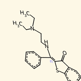 CCN(CC)CCN/C(=C1/Sc2ccccc2C1=O)c1ccccc1